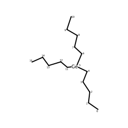 CCCC[CH2][Ge]([CH2]CCCC)[CH2]CCCC